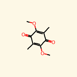 COC1=C(C)C(=O)C(OC)=C(C)C1=O